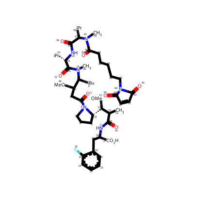 CCC(C)C(C(CC(=O)N1CCC[C@H]1C(OC)C(C)C(=O)NC(Cc1ccccc1F)C(=O)O)OC)N(C)C(=O)[C@@H](NC(=O)C(C(C)C)N(C)C(=O)CCCCCN1C(=O)C=CC1=O)C(C)C